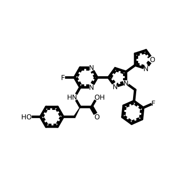 O=C(O)[C@@H](Cc1ccc(O)cc1)Nc1nc(-c2cc(-c3ccon3)n(Cc3ccccc3F)n2)ncc1F